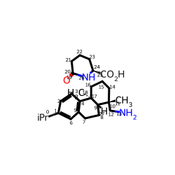 CC(C)c1ccc2c(c1)CC[C@H]1[C@@](C)(CN)CCC[C@]21C.O=C1CCC[C@@H](C(=O)O)N1